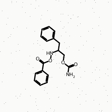 NC(=O)OCC(Cc1ccccc1)NOC(=O)c1ccccc1